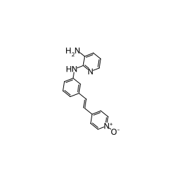 Nc1cccnc1Nc1cccc(C=Cc2cc[n+]([O-])cc2)c1